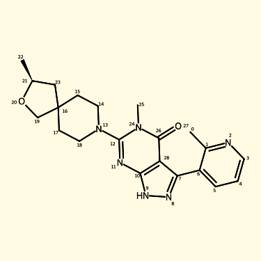 Cc1ncccc1-c1n[nH]c2nc(N3CCC4(CC3)CO[C@@H](C)C4)n(C)c(=O)c12